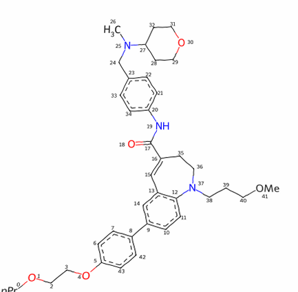 CCCOCCOc1ccc(-c2ccc3c(c2)C=C(C(=O)Nc2ccc(CN(C)C4CCOCC4)cc2)CCN3CCCOC)cc1